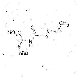 C=CC=CC(=O)NC(SCCCC)C(=O)O